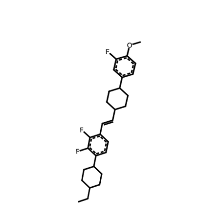 CCC1CCC(c2ccc(/C=C/C3CCC(c4ccc(OC)c(F)c4)CC3)c(F)c2F)CC1